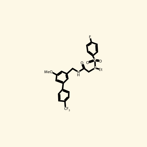 CCN(CC(=O)NCc1cc(OC)cc(-c2ccc(C(F)(F)F)cc2)c1)S(=O)(=O)c1ccc(F)cc1